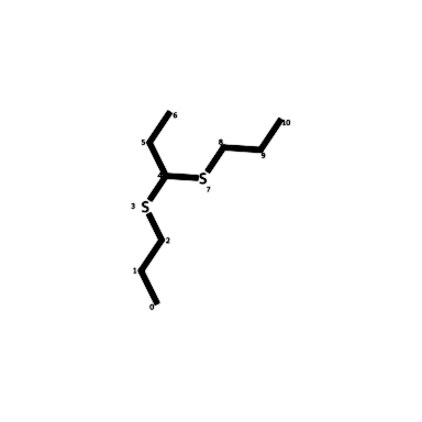 CCCSC(CC)SCCC